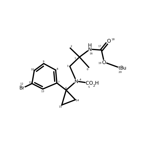 CC(C)(CN(C(=O)O)C1(c2cccc(Br)c2)CC1)NC(=O)OC(C)(C)C